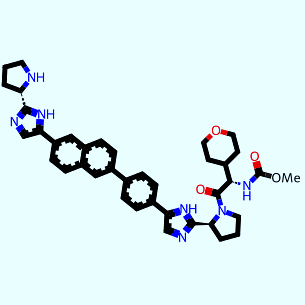 COC(=O)N[C@H](C(=O)N1CCC[C@H]1c1ncc(-c2ccc(-c3ccc4cc(-c5cnc([C@@H]6CCCN6)[nH]5)ccc4c3)cc2)[nH]1)C1CCOCC1